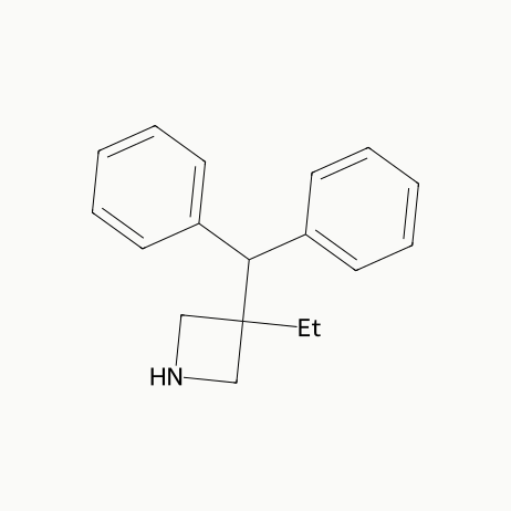 CCC1(C(c2ccccc2)c2ccccc2)CNC1